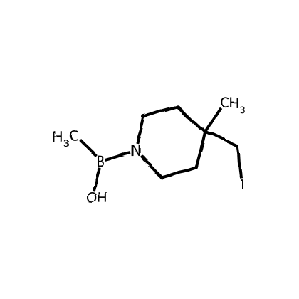 CB(O)N1CCC(C)(CI)CC1